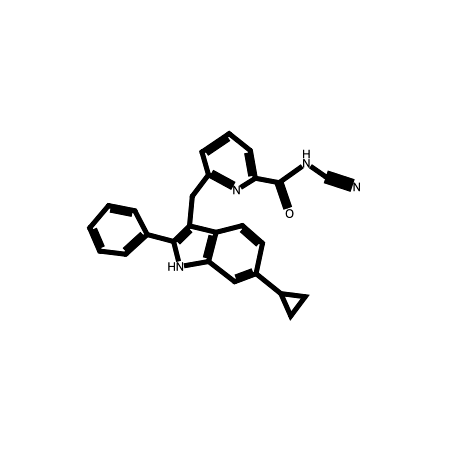 N#CNC(=O)c1cccc(Cc2c(-c3ccccc3)[nH]c3cc(C4CC4)ccc23)n1